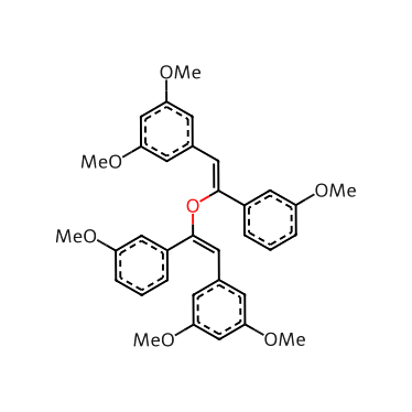 COc1cc(C=C(OC(=Cc2cc(OC)cc(OC)c2)c2cccc(OC)c2)c2cccc(OC)c2)cc(OC)c1